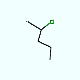 [CH2]C(Cl)CCC